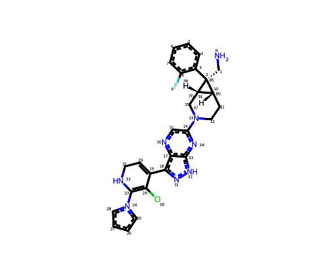 NC[C@]1(c2ccccc2F)[C@@H]2CCN(c3cnc4c(C5=CCNC(n6cccc6)=C5Cl)n[nH]c4n3)C[C@@H]21